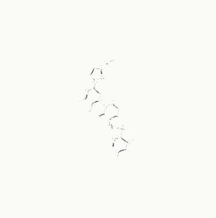 [2H]C([2H])(Oc1ccn(-c2cc(-n3ccc(C(C)(C)O)n3)nc(C)c2C)c(=O)c1Cl)c1ncc(F)cc1F